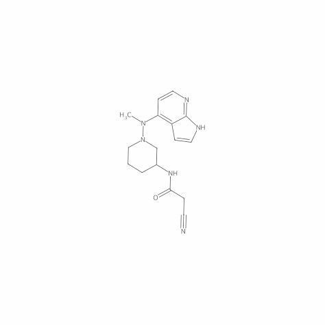 CN(c1ccnc2[nH]ccc12)N1CCCC(NC(=O)CC#N)C1